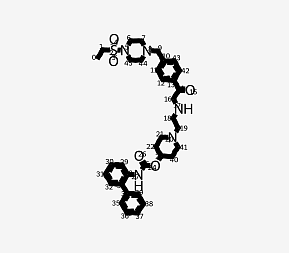 CCS(=O)(=O)N1CCN(Cc2ccc(C(=O)CNCCN3CCC(OC(=O)Nc4ccccc4-c4ccccc4)CC3)cc2)CC1